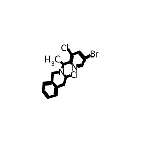 CC(c1ncc(Br)cc1Cl)N1Cc2ccccc2CC1Cl